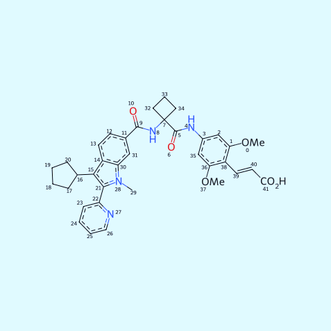 COc1cc(NC(=O)C2(NC(=O)c3ccc4c(C5CCCC5)c(-c5ccccn5)n(C)c4c3)CCC2)cc(OC)c1C=CC(=O)O